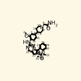 COc1cc(C2CCN(CC(N)=O)CC2)ccc1Nc1ncc2ccc(-c3ccccc3N(C)S(C)(=O)=O)n2n1